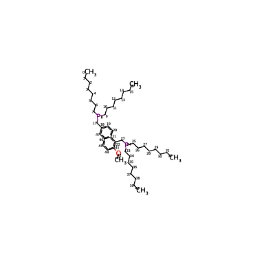 CCCCCCCCP(CCCCCCCC)Cc1ccc2c(CP(CCCCCCCC)CCCCCCCC)c(OC)ccc2c1